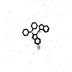 C1=CCC2CC[CH]([Zr+2][CH]3C(P(C4CCCCC4)C4CCCCC4)=Cc4ccccc43)C2=C1.[Cl-].[Cl-]